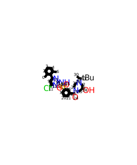 Cc1cccc(C)c1-c1cc(Cl)nc(NS(=O)(=O)c2cccc(C(=O)N3CCN(C(C)C(C)(C)C)C[C@@H](O)C3)c2)n1